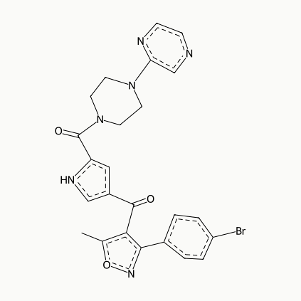 Cc1onc(-c2ccc(Br)cc2)c1C(=O)c1c[nH]c(C(=O)N2CCN(c3cnccn3)CC2)c1